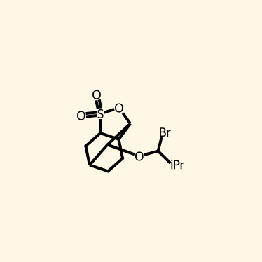 CC(C)C(Br)OC1C2CCC3C1OS(=O)(=O)C3C2